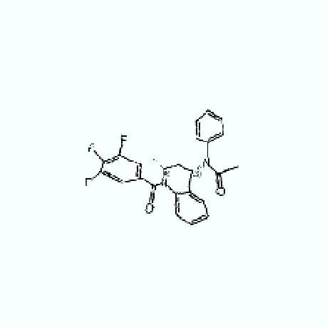 CC(=O)N(c1ccccc1)[C@H]1C[C@@H](C)N(C(=O)c2cc(F)c(F)c(F)c2)c2ccccc21